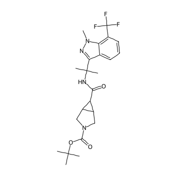 Cn1nc(C(C)(C)NC(=O)C2C3CN(C(=O)OC(C)(C)C)CC32)c2cccc(C(F)(F)F)c21